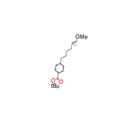 CO/C=C/CCCCc1ccc(C(=O)OC(C)(C)C)cc1